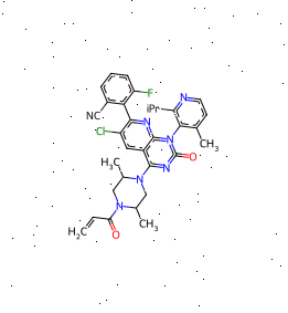 C=CC(=O)N1CC(C)N(c2nc(=O)n(-c3c(C)ccnc3C(C)C)c3nc(-c4c(F)cccc4C#N)c(Cl)cc23)CC1C